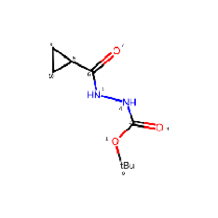 CC(C)(C)OC(=O)NNC(=O)C1CC1